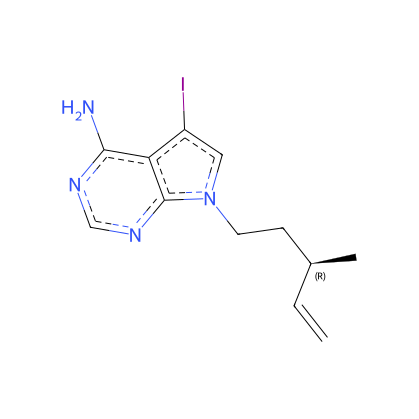 C=C[C@H](C)CCn1cc(I)c2c(N)ncnc21